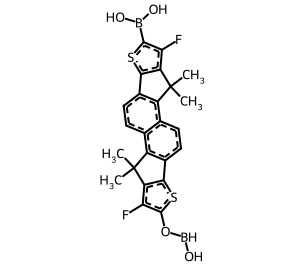 CC1(C)c2c(sc(OBO)c2F)-c2ccc3c4c(ccc3c21)-c1sc(B(O)O)c(F)c1C4(C)C